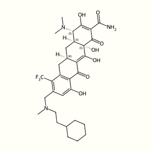 CN(CCC1CCCCC1)Cc1cc(O)c2c(c1C(F)(F)F)C[C@H]1C[C@H]3[C@H](N(C)C)C(O)=C(C(N)=O)C(=O)[C@@]3(O)C(O)=C1C2=O